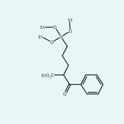 CCOC(=O)C(CCC[Si](OCC)(OCC)OCC)C(=O)c1ccccc1